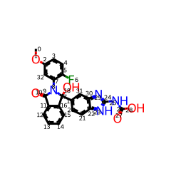 COc1ccc(F)c(N2C(=O)c3ccccc3C2(O)c2ccc3[nH]c(NC(=O)O)nc3c2)c1